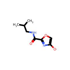 CC(C)CNC(=O)c1nc([O])co1